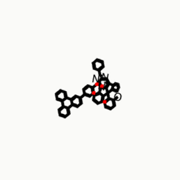 c1ccc(-c2nc(-c3ccc(-c4ccc5c6ccccc6c6ccccc6c5c4)cc3)nc(-c3cccc4c3C3(c5ccccc5O4)c4ccccc4-c4ccccc43)n2)cc1